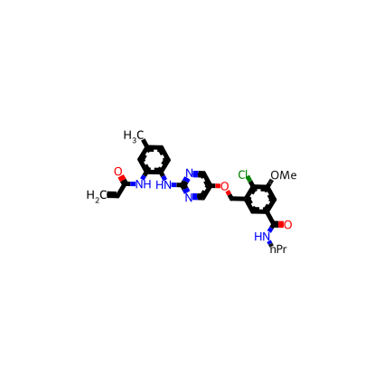 C=CC(=O)Nc1cc(C)ccc1Nc1ncc(OCc2cc(C(=O)NCCC)cc(OC)c2Cl)cn1